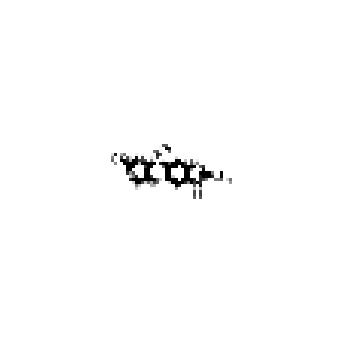 CC(C)N(c1ccc2[nH]c(C(F)(F)F)nc2c1)c1nc(Cl)ncc1F